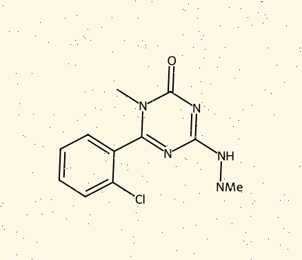 CNNc1nc(-c2ccccc2Cl)n(C)c(=O)n1